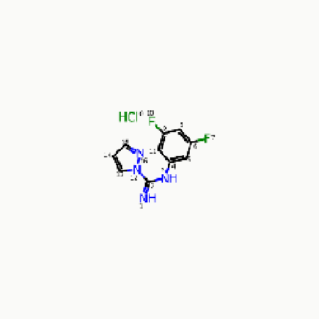 Cl.N=C(Nc1cc(F)cc(F)c1)n1cccn1